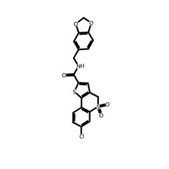 O=C(NCc1ccc2c(c1)OCO2)c1cc2c(s1)-c1ccc(Cl)cc1S(=O)(=O)C2